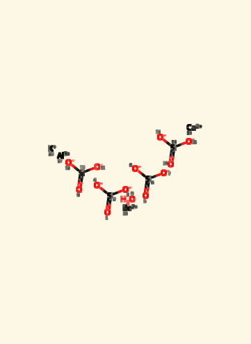 O.O=[Si]([O-])[O-].O=[Si]([O-])[O-].O=[Si]([O-])[O-].O=[Si]([O-])[O-].[Al+3].[Be+2].[Ca+2].[K+]